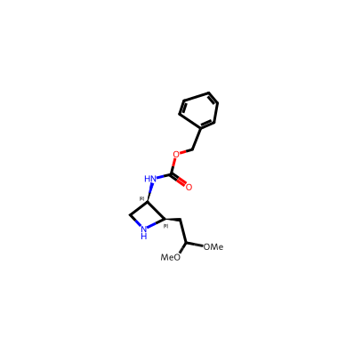 COC(C[C@H]1NC[C@H]1NC(=O)OCc1ccccc1)OC